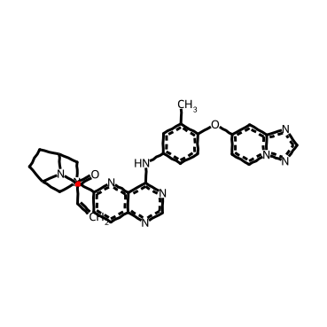 C=CC(=O)N1C2CCC1CN(c1ccc3ncnc(Nc4ccc(Oc5ccn6ncnc6c5)c(C)c4)c3n1)C2